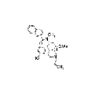 C=CCN1CC[C@@]2(c3cccc(O)c3)C[C@H](N(C)C(=O)c3ccc4ccccc4c3)CC(OC)[C@@H]2C1